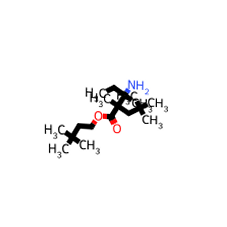 CCC(C)(N)C(C)(CC(C)(C)C)C(=O)OCCC(C)(C)C